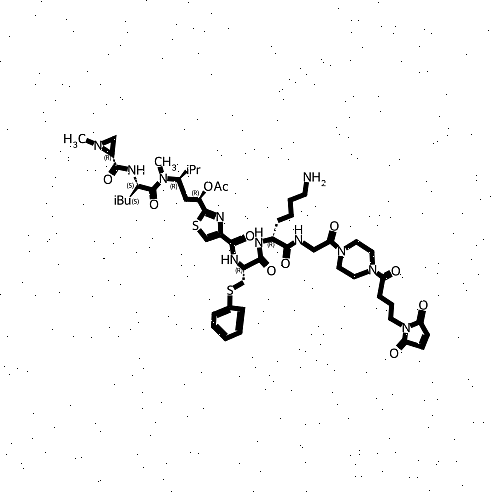 CC[C@H](C)[C@H](NC(=O)[C@H]1CN1C)C(=O)N(C)[C@H](C[C@@H](OC(C)=O)c1nc(C(=O)N[C@@H](CSc2ccccc2)C(=O)N[C@H](CCCCN)C(=O)NCC(=O)N2CCN(C(=O)CCCN3C(=O)C=CC3=O)CC2)cs1)C(C)C